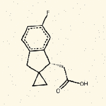 O=C(O)C[C@H]1c2cc(F)ccc2CC12CC2